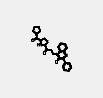 O=C(CCn1c(=O)c(-c2ccccc2)nc2ccccc21)C1NC(C(=O)N2CCCC2)CS1